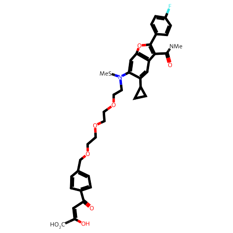 CNC(=O)c1c(-c2ccc(F)cc2)oc2cc(N(CCOCCOCCOCc3ccc(C(=O)/C=C(\O)C(=O)O)cc3)SC)c(C3CC3)cc12